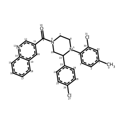 Cc1ccc(N2CCN(C(=O)c3cnc4ccccc4c3)CC2c2ccc(Cl)cc2)c(Cl)c1